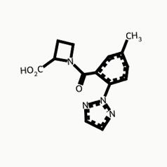 Cc1ccc(-n2nccn2)c(C(=O)N2CCC2C(=O)O)c1